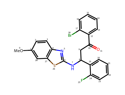 COc1ccc2nc(NC(CC(=O)c3ccccc3Br)c3ccccc3F)sc2c1